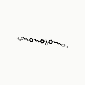 CCCCCCC[C@H]1CC[C@H](C(=O)Oc2ccc(CC/C=C/[C@H]3CC[C@H](CCCCC)CC3)cc2)CC1